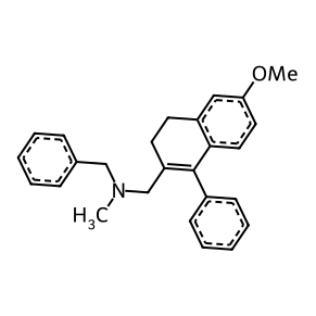 COc1ccc2c(c1)CCC(CN(C)Cc1ccccc1)=C2c1ccccc1